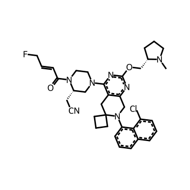 CN1CCC[C@H]1COc1nc2c(c(N3CCN(C(=O)/C=C/CF)[C@@H](CC#N)C3)n1)CC1(CCC1)N(c1cccc3cccc(Cl)c13)C2